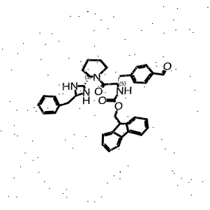 O=Cc1ccc(C[C@H](NC(=O)OCC2c3ccccc3-c3ccccc32)C(=O)N2CCCC[C@H]2C2NC(Cc3ccccc3)N2)cc1